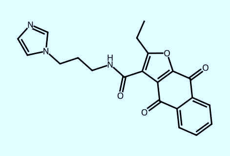 CCc1oc2c(c1C(=O)NCCCn1ccnc1)C(=O)c1ccccc1C2=O